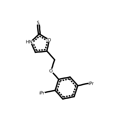 CC(C)c1ccc(C(C)C)c(OCc2c[nH]c(=S)o2)c1